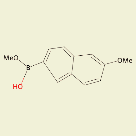 COB(O)c1ccc2cc(OC)ccc2c1